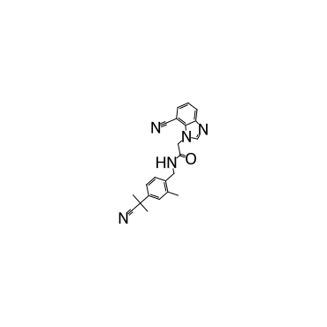 Cc1cc(C(C)(C)C#N)ccc1CNC(=O)Cn1cnc2cccc(C#N)c21